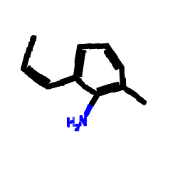 C/C=C\c1cccc(C)c1N